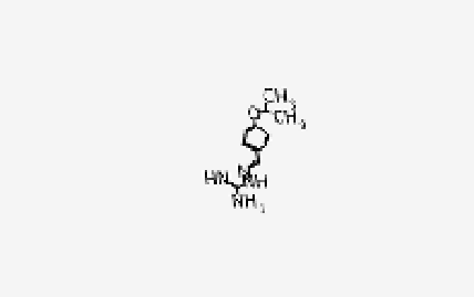 CC(C)Oc1ccc(C=NNC(=N)N)cc1